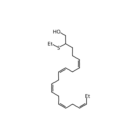 CC/C=C\C/C=C\C/C=C\C/C=C\C/C=C\CCC(CO)SCC